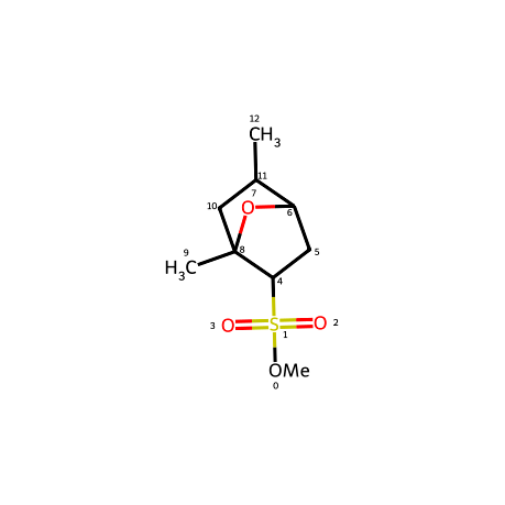 COS(=O)(=O)C1CC2OC1(C)CC2C